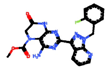 COC(=O)N1CC(=O)Nc2nc(-c3nn(Cc4ccccc4F)c4ncccc34)nc(N)c21